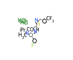 CC(C)[C@H](C(=O)O)N(C)C1C[C@H](CN2CCC(c3cnc(Cc4cccc(C(F)(F)F)c4)s3)CC2)[C@@H](c2cccc(F)c2)C1.Cl.Cl.Cl